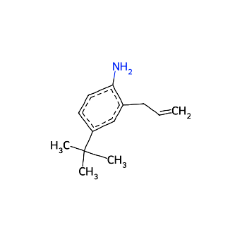 C=CCc1cc(C(C)(C)C)ccc1N